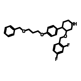 Fc1ccc(COC2CNCCC2c2ccc(OCCCOCc3ccccc3)cc2)c(F)c1